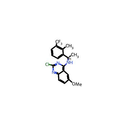 COc1ccc2nc(Cl)nc(N[C@H](C)c3cccc(C(F)(F)F)c3C)c2c1